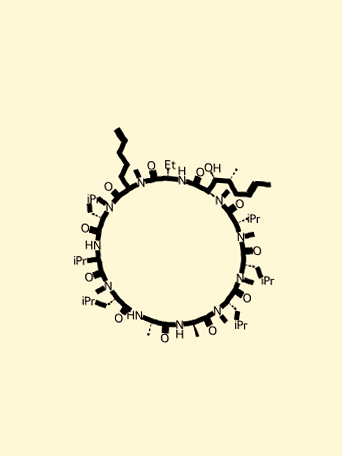 C=CCCCC1C(=O)N(C)[C@@H](CC(C)C)C(=O)NC(C(C)C)C(=O)N(C)[C@@H](CC(C)C)C(=O)N[C@@H](C)C(=O)N[C@H](C)C(=O)N(C)[C@@H](CC(C)C)C(=O)N(C)[C@@H](CC(C)C)C(=O)N(C)[C@@H](C(C)C)C(=O)N(C)[C@@H]([C@H](O)[C@H](C)C/C=C/C)C(=O)N[C@@H](CC)C(=O)N1C